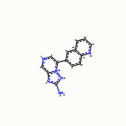 Nc1nc2cncc(-c3ccc4ncccc4c3)n2n1